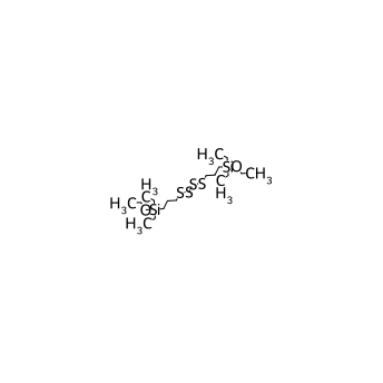 CCO[Si](CC)(CC)CCCSSSSCCC[Si](CC)(CC)OCC